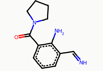 N=Cc1cccc(C(=O)N2CCCC2)c1N